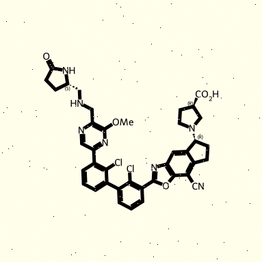 COc1nc(-c2cccc(-c3cccc(-c4nc5cc6c(c(C#N)c5o4)CC[C@H]6N4CC[C@@H](C(=O)O)C4)c3Cl)c2Cl)cnc1CNC[C@@H]1CCC(=O)N1